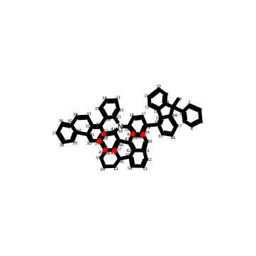 CC1(c2ccccc2)c2ccccc2-c2c(-c3ccc(N(c4ccccc4-c4cccc5c4ccc4ccccc45)c4ccccc4-c4cccc5cccc(C6CCCCC6)c45)cc3)cccc21